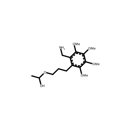 [CH2]C(O)OCCCc1c(CN)c(OC)c(OC)c(OC)c1OC